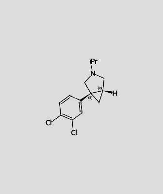 CC(C)N1C[C@@H]2C[C@]2(c2ccc(Cl)c(Cl)c2)C1